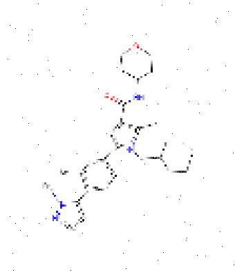 CC(=O)c1cc(-c2cc(C(=O)NC3CCOCC3)c(C)n2CC2CCCCC2)ccc1-c1ccnn1C(C)C